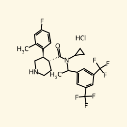 Cc1cc(F)ccc1[C@@H]1CNCC[C@H]1C(=O)N(C1CC1)C(C)c1cc(C(F)(F)F)cc(C(F)(F)F)c1.Cl